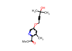 COC(=O)c1ncc(OCC#CC(C)(C)O)cc1C